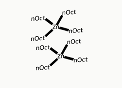 CCCCCCC[CH2][Zn]([CH2]CCCCCCC)([CH2]CCCCCCC)[CH2]CCCCCCC.CCCCCCC[CH2][Zn]([CH2]CCCCCCC)([CH2]CCCCCCC)[CH2]CCCCCCC